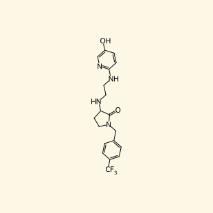 O=C1C(NCCNc2ccc(O)cn2)CCN1Cc1ccc(C(F)(F)F)cc1